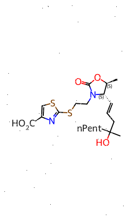 CCCCCC(C)(O)CC=C[C@H]1[C@H](C)OC(=O)N1CCSc1nc(C(=O)O)cs1